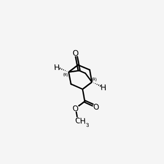 COC(=O)C1C[C@H]2CC[C@@H]1CC2=O